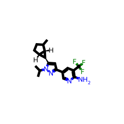 CC1CC[C@H]2[C@H](c3cc(-c4cnc(N)c(C(F)(F)F)c4)nn3C(C)C)[C@@H]12